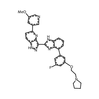 COc1cncc(-c2ccc3[nH]nc(-c4nc5c(-c6cc(F)cc(OCCN7CCCC7)c6)cccc5[nH]4)c3n2)c1